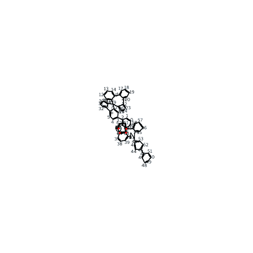 C1=CC(c2ccc3c(c2)C2(c4ccccc4-c4ccccc4-c4ccccc42)c2ccccc2-3)=C2Oc3cccc(N(c4ccc(-c5ccccc5)cc4)c4ccccc4-c4ccccc4)c3C2C1